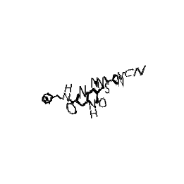 N#CCn1cc(-c2cn3nc4c5ncc(C(=O)NCCN6CC7CCC6CC7)cc5[nH]c(=O)c4c3s2)cn1